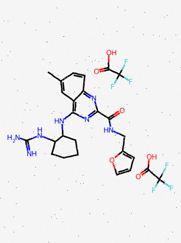 Cc1ccc2nc(C(=O)NCc3ccco3)nc(NC3CCCCC3NC(=N)N)c2c1.O=C(O)C(F)(F)F.O=C(O)C(F)(F)F